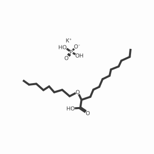 CCCCCCCCCCC(OCCCCCCCC)C(=O)O.O=P([O-])(O)O.[K+]